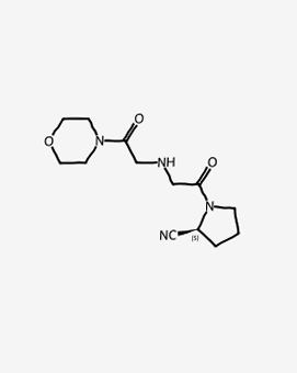 N#C[C@@H]1CCCN1C(=O)CNCC(=O)N1CCOCC1